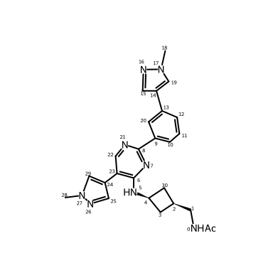 CC(=O)NC[C@H]1C[C@@H](Nc2nc(-c3cccc(-c4cnn(C)c4)c3)ncc2-c2cnn(C)c2)C1